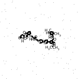 Cc1cc(C)c(CNC(=O)c2cc(-c3ccc(N4CCN(CCNC(=O)CCNc5cccc6c5C(=O)N(C5CCC(=O)NC5=O)C6=O)CC4)nc3)cc3c2cnn3C(C)C)c(=O)[nH]1